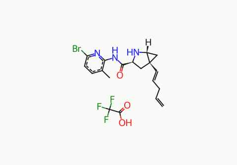 C=CCC=C[C@@]12C[C@@H](C(=O)Nc3nc(Br)ccc3C)N[C@@H]1C2.O=C(O)C(F)(F)F